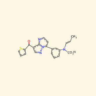 CC=CN(C(=O)O)c1cccc(-c2ccnc3c(C(=O)c4cccs4)cnn23)c1